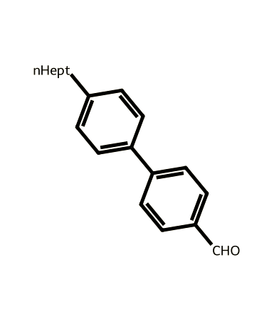 CCCCCCCc1ccc(-c2ccc(C=O)cc2)cc1